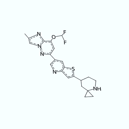 Cc1cn2nc(-c3cnc4cc(C5CCNC6(CC6)C5)sc4c3)cc(OC(F)F)c2n1